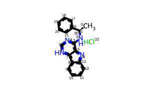 C[C@@H](Nc1nc[nH]c2c3ccccc3nc1-2)c1ccccc1.Cl